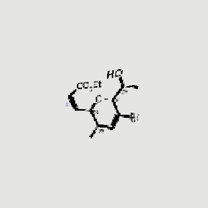 CCOC(=O)/C=C\[C@H]1O[C@H]([C@H](C)O)C(Br)=C[C@H]1C